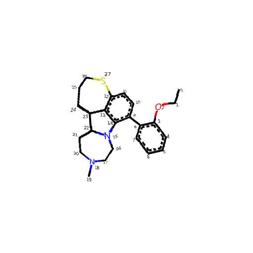 CCOc1ccccc1-c1ccc2c3c1N1CCN(C)CCC1C3CCCS2